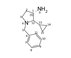 N[C@H]1CCN(Cc2ccccc2)C1C1CC1